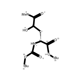 CNC(=O)C(O)C[C@@H](NC(=O)OC(C)(C)C)C(=O)OC(C)(C)C